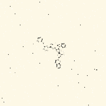 CC(C)[C@H](NC(=O)c1ccc2ccccc2n1)C(=O)NC(C(O)CNC(=O)C1CC(SCc2ccccn2)CCN1)C(c1ccccc1)C(C)(C)C